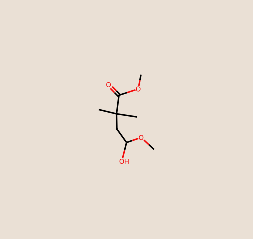 COC(=O)C(C)(C)CC(O)OC